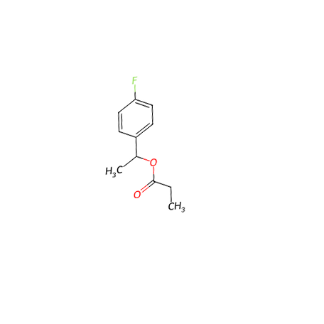 CCC(=O)OC(C)c1ccc(F)cc1